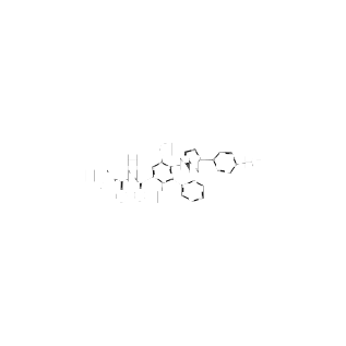 NC(=O)NC(=O)c1cc(Cl)c(-n2ccc(-c3ccc(Br)cc3)n2)c(-c2ccccc2)c1F